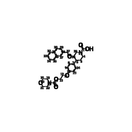 O=C(O)N1CCC(c2ccc(OCCOC(=O)N3CCOCC3)cc2)C(OCc2ccc3ccccc3c2)C1